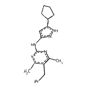 Cc1nc(Nc2cc(C3CCCC3)[nH]n2)nc(C)c1CC(C)C